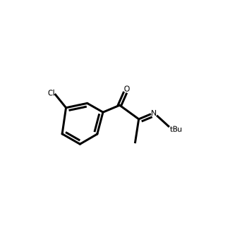 C/C(=N\C(C)(C)C)C(=O)c1cccc(Cl)c1